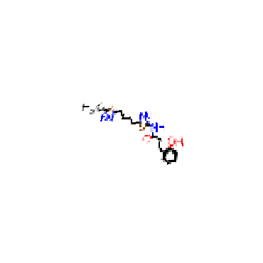 Cc1nnc(CCCCc2nnc(NC(=O)CCc3ccccc3O)s2)s1